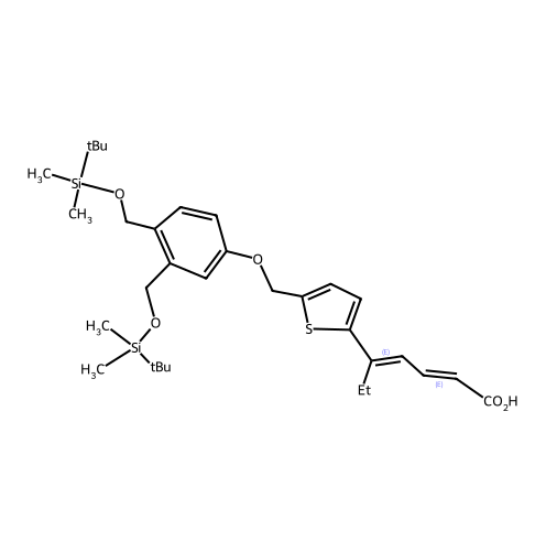 CC/C(=C\C=C\C(=O)O)c1ccc(COc2ccc(CO[Si](C)(C)C(C)(C)C)c(CO[Si](C)(C)C(C)(C)C)c2)s1